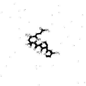 Cc1ccnc(-c2ccnc(C(=O)C3NC(CCC(N)=O)C(C)CC3(F)F)c2N)c1